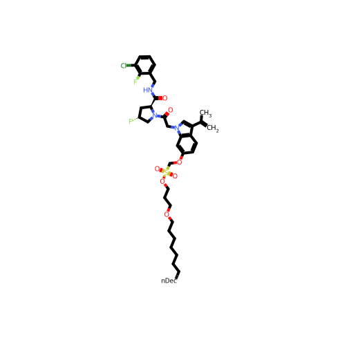 C=C(C)c1cn(CC(=O)N2C[C@H](F)C[C@H]2C(=O)NCc2cccc(Cl)c2F)c2cc(OCS(=O)(=O)OCCCOCCCCCCCCCCCCCCCCC)ccc12